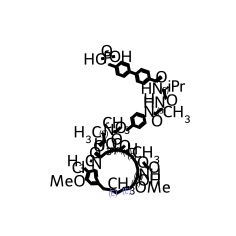 COc1cc2cc(c1Cl)N(C)C(=O)C[C@H](OC(=O)[C@H](C)N(C)C(=O)OCc1ccc(NC(=O)[C@H](C)NC(=O)[C@@H](NC(=O)c3ccc(-c4ccc(CP(=O)(O)O)cc4)cc3)C(C)C)cc1)[C@@]1(C)O[C@H]1[C@@H](C)C1C[C@@](O)(NC(=O)O1)[C@H](OC)/C=C/C=C(\C)C2